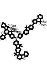 CCCCCCCC1(CCCCCCC)c2ccccc2-c2ccc(-c3ccc4c(c3)C(C)(C)c3cc(-c5ccc(N(c6ccc7c(c6)C(C)(C)c6cc8c(cc6-7)C(C)(C)c6ccc7oc9ccccc9c7c6-8)c6ccc7c(c6)C(CCCCCCC)(CCCCCCC)c6c8c(c9oc%10ccccc%10c9c6-7)-c6ccccc6C8(CCCCCCC)CCCCCCC)cc5)ccc3-4)cc21